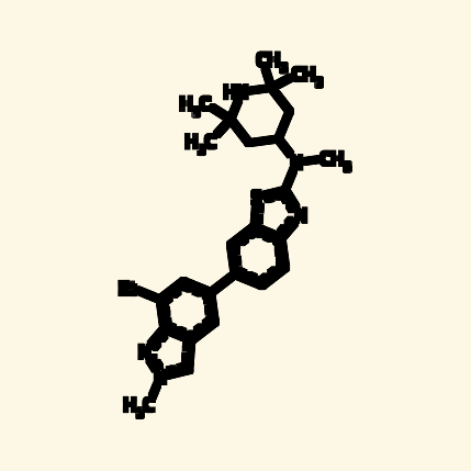 CCc1cc(-c2ccc3nc(N(C)C4CC(C)(C)NC(C)(C)C4)sc3c2)cc2cn(C)nc12